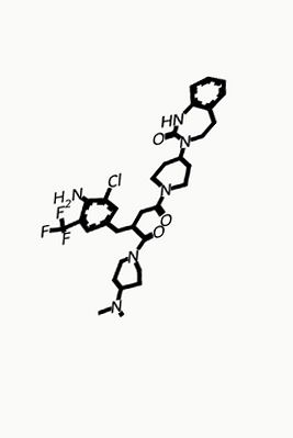 CN(C)C1CCN(C(=O)C(CC(=O)N2CCC(N3CCc4ccccc4NC3=O)CC2)Cc2cc(Cl)c(N)c(C(F)(F)F)c2)CC1